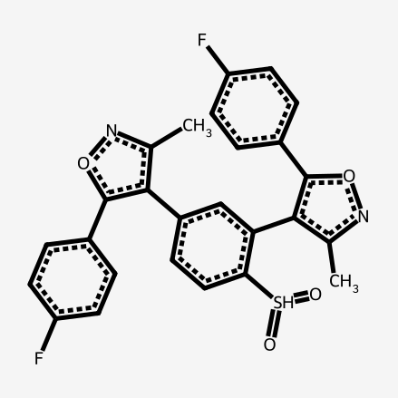 Cc1noc(-c2ccc(F)cc2)c1-c1ccc([SH](=O)=O)c(-c2c(C)noc2-c2ccc(F)cc2)c1